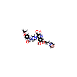 COc1cc2c(N3CCN(N(C=O)c4ccc(OC(C)C)cc4)CC3)c(CO)cnc2cc1OCCCN1CCOCC1